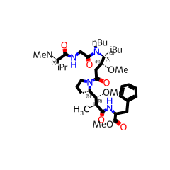 CCCCN(C(=O)CNC(=O)[C@@H](NC)C(C)C)[C@@H]([C@@H](C)CC)[C@@H](CC(=O)N1CCC[C@H]1[C@H](OC)[C@@H](C)C(=O)NC(Cc1ccccc1)C(=O)OC)OC